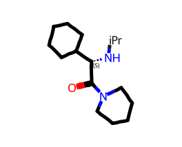 CC(C)N[C@H](C(=O)N1CCCCC1)C1CCCCC1